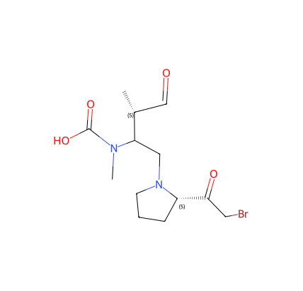 C[C@H](C=O)C(CN1CCC[C@H]1C(=O)CBr)N(C)C(=O)O